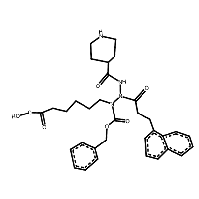 O=C(CO)CCCCCN(C(=O)OCc1ccccc1)N(NC(=O)C1CCNCC1)C(=O)CCc1cccc2ccccc12